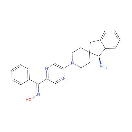 N[C@@H]1c2ccccc2CC12CCN(c1cnc(C(=NO)c3ccccc3)cn1)CC2